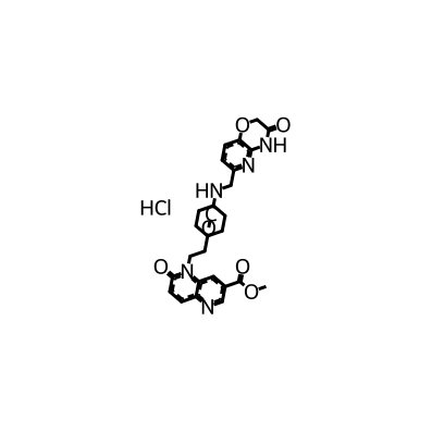 COC(=O)c1cnc2ccc(=O)n(CCC34CCC(NCc5ccc6c(n5)NC(=O)CO6)(CC3)CO4)c2c1.Cl